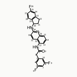 O=C(Cc1cc(F)cc(F)c1)Nc1cccc2nc(NC3CCc4cc(F)ccc43)ccc12